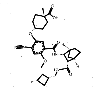 COc1cc(C#N)c(O[C@H]2CC[C@@](C)(C(=O)O)CC2)cc1C(=O)N[C@@H]1[C@H]2CC[C@H](C2)[C@@H]1C(=O)NC[C@H]1C[C@@H](C)C1